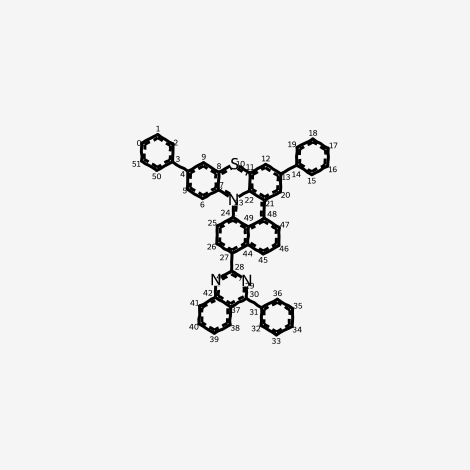 c1ccc(-c2ccc3c(c2)sc2cc(-c4ccccc4)cc4c2-n3c2ccc(-c3nc(-c5ccccc5)c5ccccc5n3)c3cccc4c32)cc1